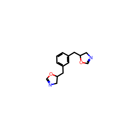 C1=NCC(Cc2cccc(CC3CN=CO3)c2)O1